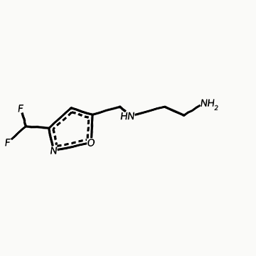 NCCNCc1cc(C(F)F)no1